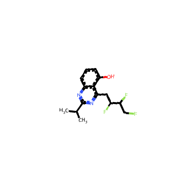 CC(C)c1nc(CC(F)C(F)CF)c2c(O)cccc2n1